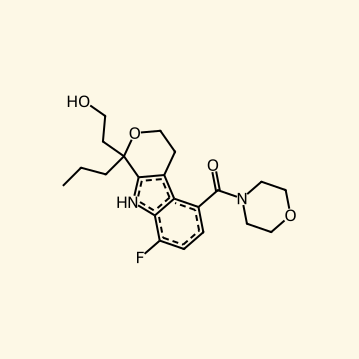 CCCC1(CCO)OCCc2c1[nH]c1c(F)ccc(C(=O)N3CCOCC3)c21